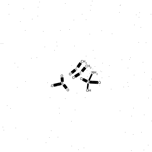 C=C=O.C=C=O.NS(=O)(=O)O.O=S(=O)=O